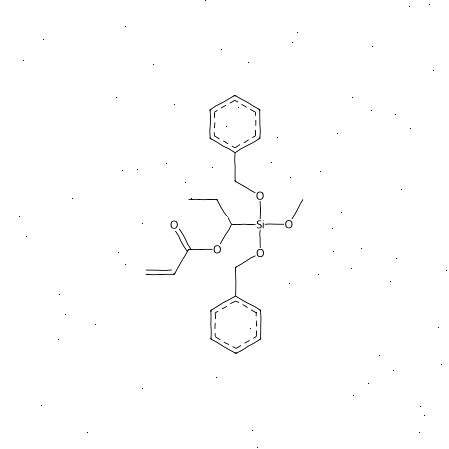 C=CC(=O)OC(CC)[Si](OC)(OCc1ccccc1)OCc1ccccc1